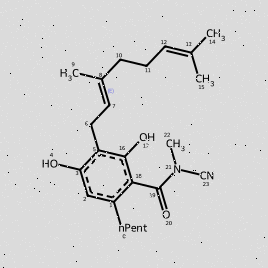 CCCCCc1cc(O)c(C/C=C(\C)CCC=C(C)C)c(O)c1C(=O)N(C)C#N